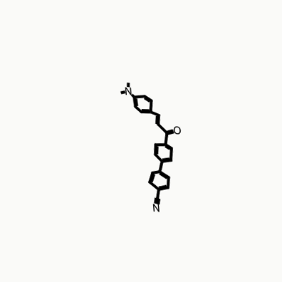 CN(C)c1ccc(C=CC(=O)c2ccc(-c3ccc(C#N)cc3)cc2)cc1